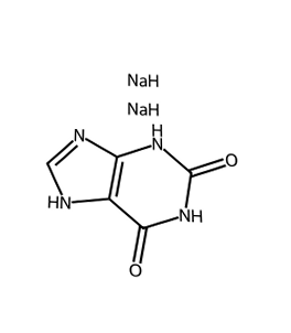 O=c1[nH]c(=O)c2[nH]cnc2[nH]1.[NaH].[NaH]